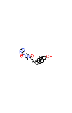 C[C@H](CCC(=O)N1CCN(C(=O)c2cnccn2)C[C@@H]1C)[C@H]1CC[C@H]2[C@@H]3CC=C4C[C@@H](O)CC[C@]4(C)[C@H]3CC[C@]12C